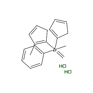 Cl.Cl.[CH2]=[Zr]([CH3])([C]1=CC=CC1)([C]1=C(C)C=CC1)[c]1ccccc1